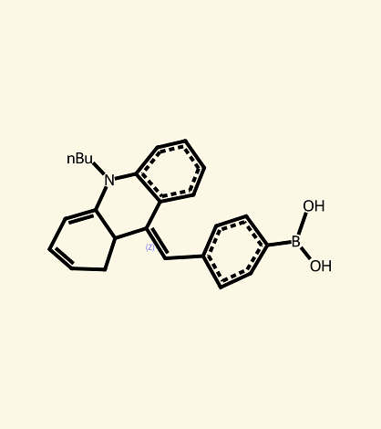 CCCCN1C2=CC=CCC2/C(=C/c2ccc(B(O)O)cc2)c2ccccc21